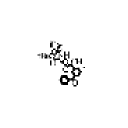 CC(C)OC(=O)N[C@@H](COC(=O)[C@H](C)c1cccc(C(=O)c2ccccc2)c1)C(=O)OC(C)(C)C